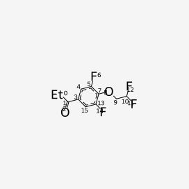 CCC(=O)c1cc(F)c(OCC(F)F)c(F)c1